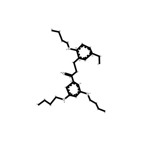 CCCCOc1cc(OCCCC)cc(C(=O)CCc2cc(CC)ccc2OCCCC)c1